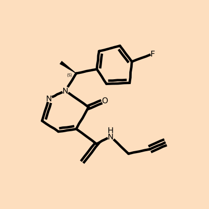 C#CCNC(=C)c1ccnn([C@@H](C)c2ccc(F)cc2)c1=O